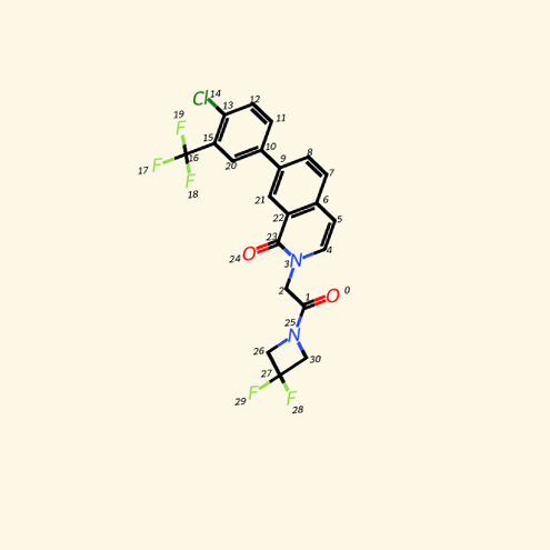 O=C(Cn1ccc2ccc(-c3ccc(Cl)c(C(F)(F)F)c3)cc2c1=O)N1CC(F)(F)C1